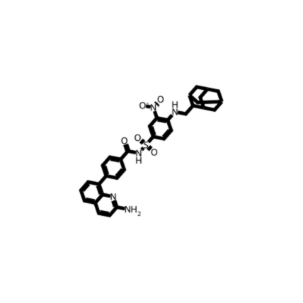 Nc1ccc2cccc(-c3ccc(C(=O)NS(=O)(=O)c4ccc(NCC5C6CC7CC(C6)CC5C7)c([N+](=O)[O-])c4)cc3)c2n1